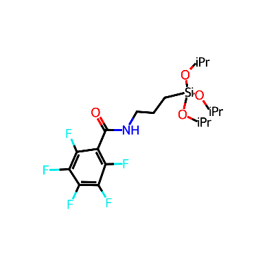 CC(C)O[Si](CCCNC(=O)c1c(F)c(F)c(F)c(F)c1F)(OC(C)C)OC(C)C